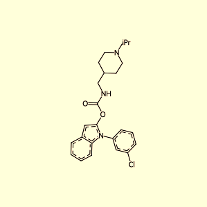 CC(C)N1CCC(CNC(=O)Oc2cc3ccccc3n2-c2cccc(Cl)c2)CC1